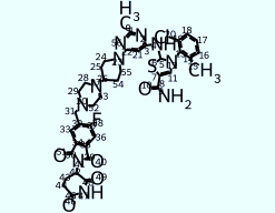 Cc1nc(NC2SC(C(N)=O)=CN2c2c(C)cccc2Cl)cc(N2CCC(N3CCN(Cc4cc5c(cc4F)C(=O)N(C4CCC(=O)NC4=O)C5=O)CC3)CC2)n1